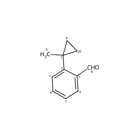 CC1(c2ccccc2C=O)CC1